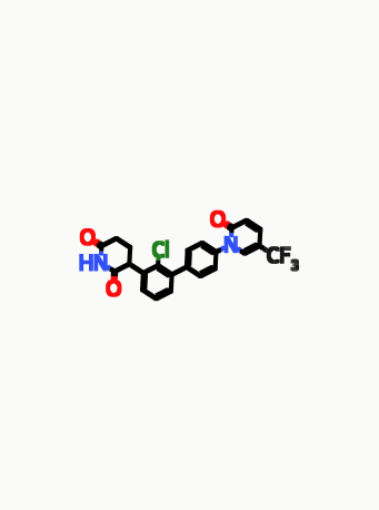 O=C1CCC(c2cccc(-c3ccc(-n4cc(C(F)(F)F)ccc4=O)cc3)c2Cl)C(=O)N1